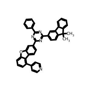 CC1(C)c2ccccc2-c2cc(-c3nc(-c4ccccc4)nc(-c4ccc5c(c4)oc4cccc(-c6ccncc6)c45)n3)ccc21